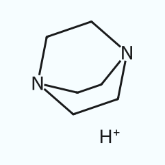 C1CN2CCN1CC2.[H+]